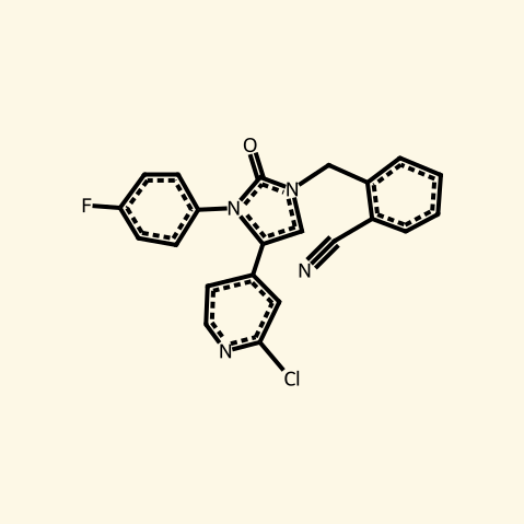 N#Cc1ccccc1Cn1cc(-c2ccnc(Cl)c2)n(-c2ccc(F)cc2)c1=O